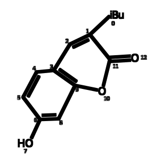 CCC(C)c1cc2ccc(O)cc2oc1=O